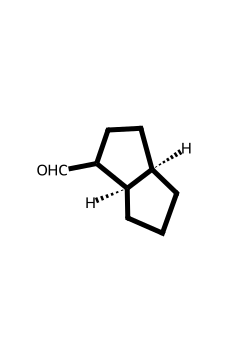 O=CC1CC[C@H]2CCC[C@@H]12